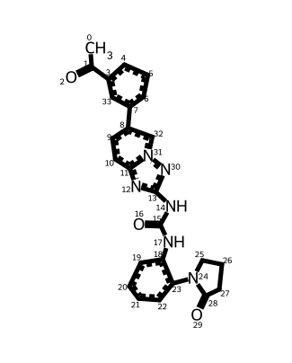 CC(=O)c1cccc(-c2ccc3nc(NC(=O)Nc4ccccc4N4CCCC4=O)nn3c2)c1